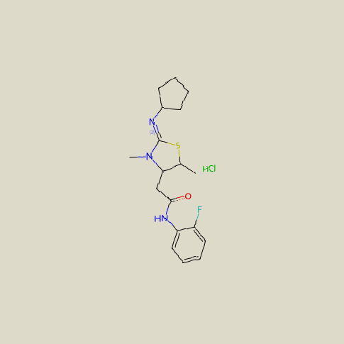 CC1S/C(=N\C2CCCC2)N(C)C1CC(=O)Nc1ccccc1F.Cl